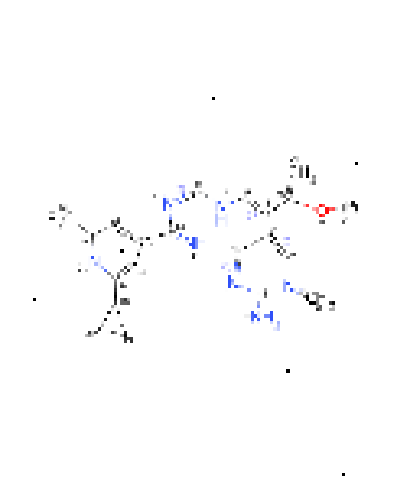 C=N/C=C(\C=N/CN)C(=C\N/C=N\C(=N)c1cc(C2CC2)nc(C(F)(F)F)c1)/C(=C)OC(C)C